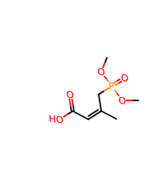 COP(=O)(C/C(C)=C\C(=O)O)OC